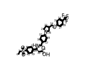 CCS(=O)(=O)c1ccc([C@H](CCO)NC(=O)c2ccc(N3CCC(COc4ccc(C(F)(F)F)cc4)C3)cc2)cc1